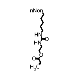 C=CC(=O)OCCNC(=O)NCCCCCCCCCCCCCC